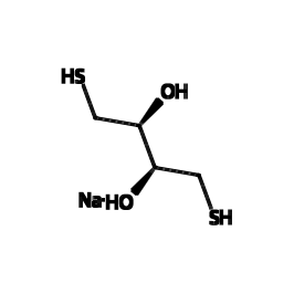 O[C@H](CS)[C@H](O)CS.[Na]